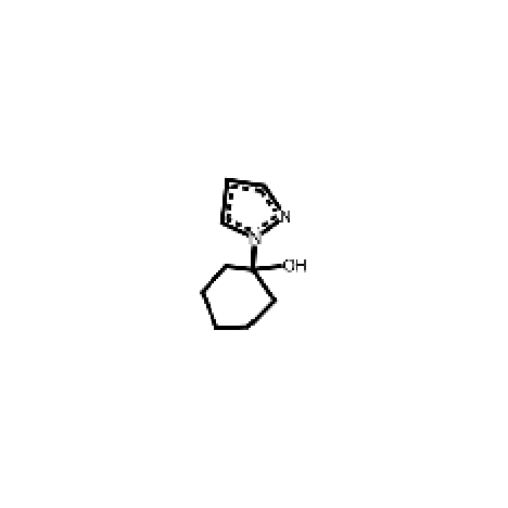 OC1(n2cccn2)CCCCC1